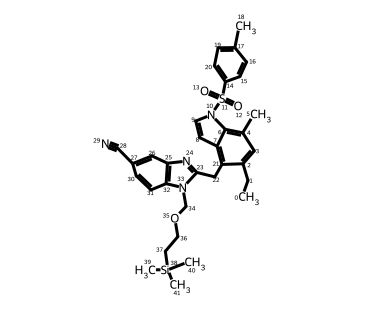 CCc1cc(C)c2c(ccn2S(=O)(=O)c2ccc(C)cc2)c1Cc1nc2cc(C#N)ccc2n1COCC[Si](C)(C)C